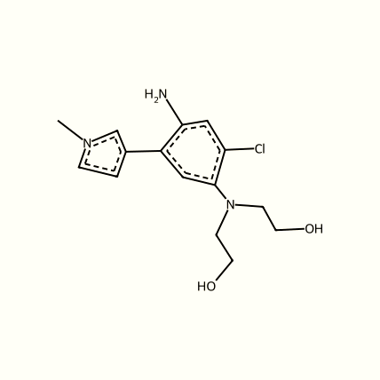 Cn1ccc(-c2cc(N(CCO)CCO)c(Cl)cc2N)c1